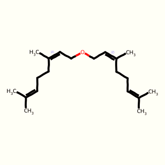 CC(C)=CCC/C(C)=C\COC/C=C(/C)CCC=C(C)C